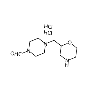 Cl.Cl.O=CN1CCN(CC2CNCCO2)CC1